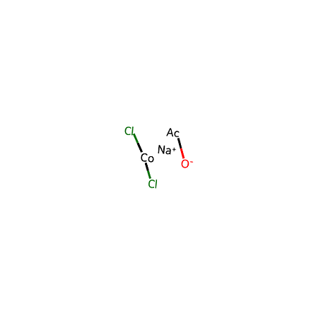 CC(=O)[O-].[Cl][Co][Cl].[Na+]